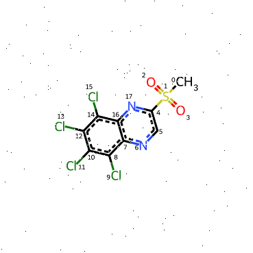 CS(=O)(=O)c1cnc2c(Cl)c(Cl)c(Cl)c(Cl)c2n1